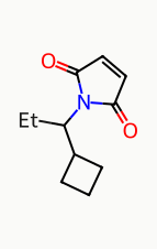 CCC(C1CCC1)N1C(=O)C=CC1=O